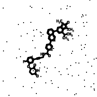 CC(C)c1cc(-c2cccc3cc(-c4ccc(C(=O)NCC#Cc5ccc(F)c(OC6CCC(=O)NC6=O)c5)nc4)ncc23)cc2c1n(C)c(=O)n2C